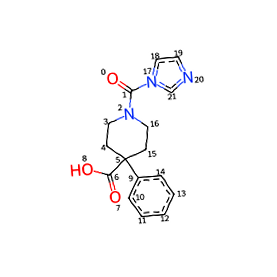 O=C(N1CCC(C(=O)O)(c2ccccc2)CC1)n1ccnc1